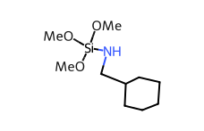 CO[Si](NCC1CCCCC1)(OC)OC